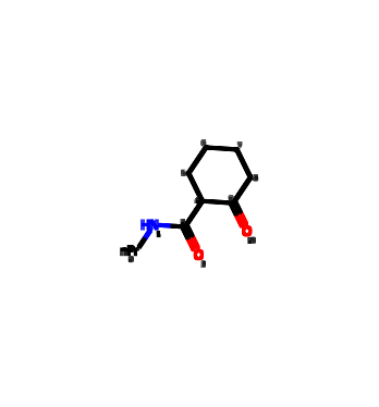 CCCNC(=O)C1CCCCC1=O